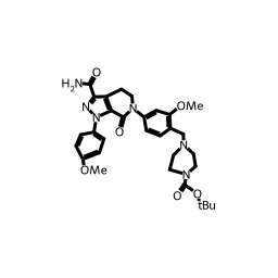 COc1ccc(-n2nc(C(N)=O)c3c2C(=O)N(c2ccc(CN4CCN(C(=O)OC(C)(C)C)CC4)c(OC)c2)CC3)cc1